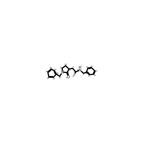 O=C1C(CC(F)NCc2ccccc2)CCN1Cc1ccccc1